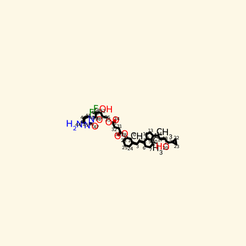 C=C1/C(=C\C=C2/CCC[C@@]3(C)C2CCC3[C@@H](C)/C=C/C(O)C2CC2)CCCC1OC(=O)CCC(=O)OCC1OC(n2ccc(N)nc2=O)C(F)(F)C1O